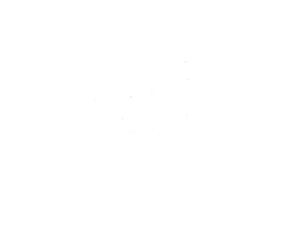 C[C](C)=[Zr+2]([C]1=CC=CC1)[CH]1c2ccccc2-c2ccccc21.[H-].[H-]